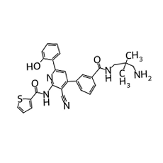 CC(C)(CN)CNC(=O)c1cccc(-c2cc(-c3ccccc3O)nc(NC(=O)c3cccs3)c2C#N)c1